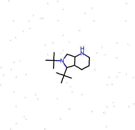 CC(C)(C)C1C2CCCNC2CN1C(C)(C)C